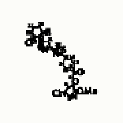 COc1ncc(Cl)cc1OCC(=O)N1CCC(c2nc(C3=NOC(c4c(F)cccc4Cl)C3)cs2)CC1